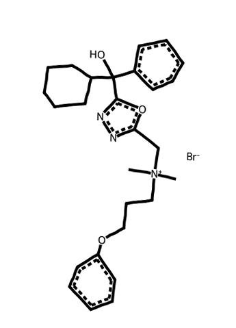 C[N+](C)(CCCOc1ccccc1)Cc1nnc(C(O)(c2ccccc2)C2CCCCC2)o1.[Br-]